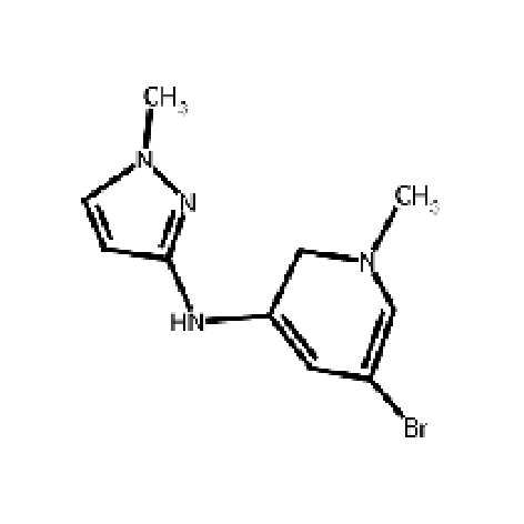 CN1C=C(Br)C=C(Nc2ccn(C)n2)C1